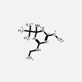 CCNC1=NC(N)(C(C)(C)C)NC(OC)=N1